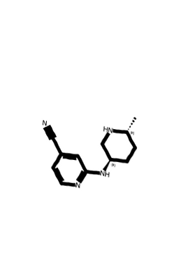 C[C@@H]1CC[C@@H](Nc2cc(C#N)ccn2)CN1